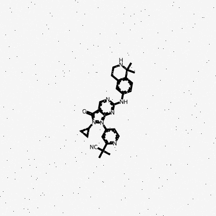 CC(C)(C#N)c1cc(-n2c3nc(Nc4ccc5c(c4)CCNC5(C)C)ncc3c(=O)n2C2CC2)ccn1